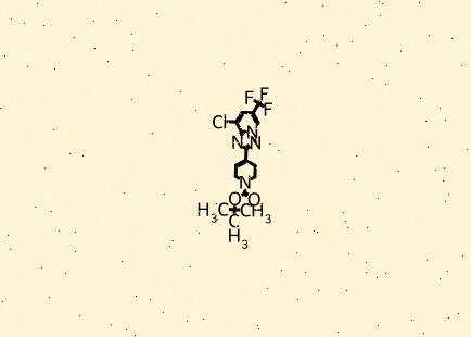 CC(C)(C)OC(=O)N1CC=C(c2nc3c(Cl)cc(C(F)(F)F)cn3n2)CC1